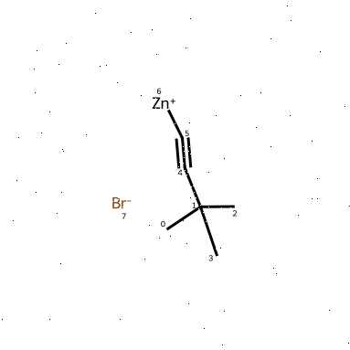 CC(C)(C)C#[C][Zn+].[Br-]